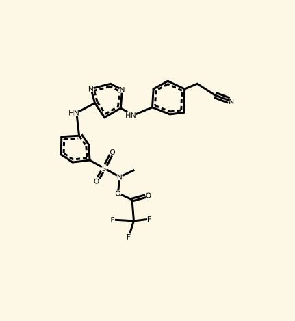 CN(OC(=O)C(F)(F)F)S(=O)(=O)c1cccc(Nc2cc(Nc3ccc(CC#N)cc3)ncn2)c1